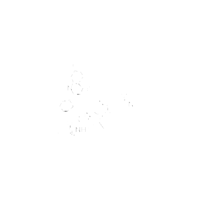 C=C[C@H]1C[C@]1(NC(=O)[C@@H]1C[C@@H](Oc2cc(-c3ccccc3)nc3cc(OC)ccc23)CN1C(=O)[C@@H](CC(=O)N1CCCCC1)C1CCCC1)C(=O)NS(=O)(=O)C1CC1